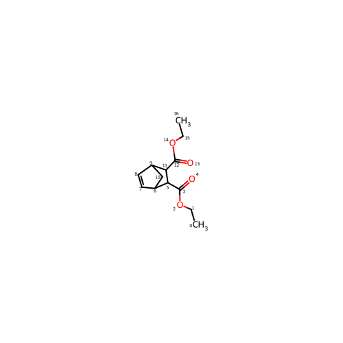 CCOC(=O)C1C2C=CC(C2)C1C(=O)OCC